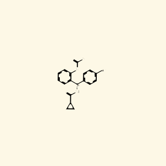 CC(C)c1ccc([C@@H](NC(=O)C2CC2)c2ccccc2NC(N)=O)cc1